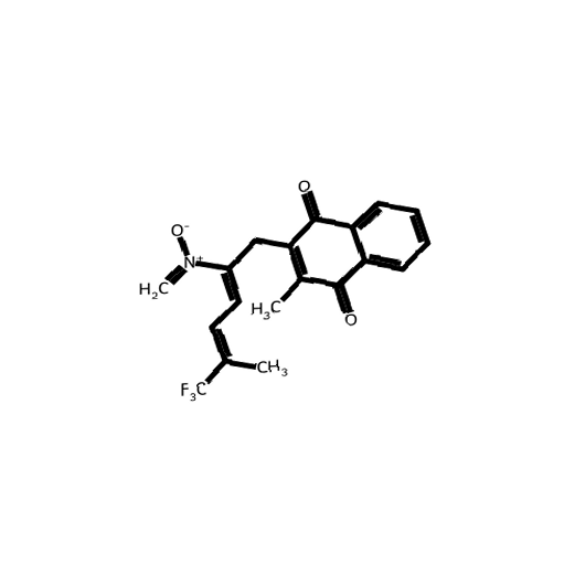 C=[N+]([O-])/C(=C\C=C(/C)C(F)(F)F)CC1=C(C)C(=O)c2ccccc2C1=O